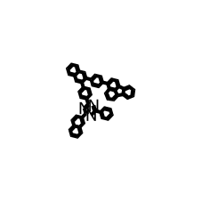 c1ccc(-c2nc(-c3ccc(-c4cc5ccccc5cc4-c4ccc(-c5ccc6c7c(cccc57)-c5ccccc5-6)cc4)cc3)nc(-c3ccc4ccccc4c3)n2)cc1